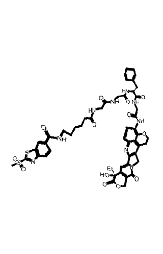 CC[C@@]1(O)C(=O)OCc2c1cc1n(c2=O)Cc2c-1nc1ccc(NC(=O)CNC(=O)[C@H](Cc3ccccc3)NC(=O)CNC(=O)CNC(=O)CCCCCNC(=O)c3ccc4nc(S(C)(=O)=O)sc4c3)c3c1c2CCO3